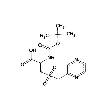 CC(C)(C)OC(=O)N[C@@H](CS(=O)(=O)Cc1cnccn1)C(=O)O